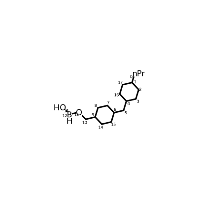 CCCC1CCC(CC2CCC(COBO)CC2)CC1